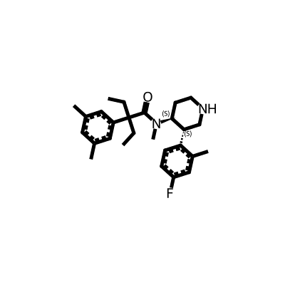 CCC(CC)(C(=O)N(C)[C@H]1CCNC[C@@H]1c1ccc(F)cc1C)c1cc(C)cc(C)c1